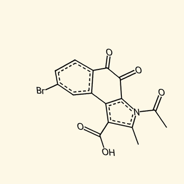 CC(=O)n1c(C)c(C(=O)O)c2c1C(=O)C(=O)c1ccc(Br)cc1-2